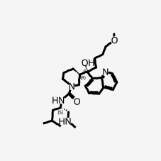 CNC[C@H](CC(C)C)NC(=O)N1CCC[C@@H]([C@@](O)(CCCCOC)c2cccc3cccnc23)C1